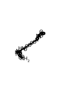 Nc1nc2cc(-c3nn(CCCCNC(=O)CCOCCOCCOCCOCCN4CCN(c5ncc(CN6C(=O)c7ccccc7C6=O)cn5)CC4)c4ncnc(N)c34)ccc2o1